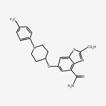 NC(=O)c1cc(OC2CCN(c3ccc(C(F)(F)F)cc3)CC2)cc2sc(C(=O)O)nc12